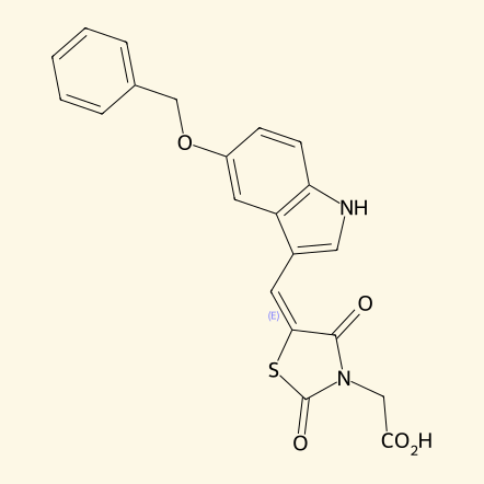 O=C(O)CN1C(=O)S/C(=C/c2c[nH]c3ccc(OCc4ccccc4)cc23)C1=O